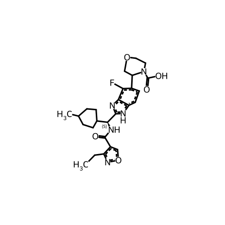 CCc1nocc1C(=O)N[C@H](c1nc2c(F)c(C3COCCN3C(=O)O)ccc2[nH]1)C1CCC(C)CC1